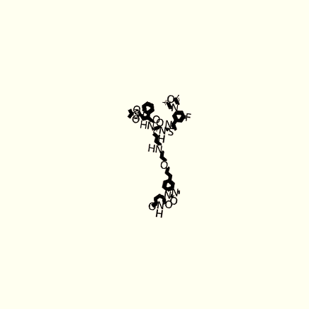 CC(C)S(=O)(=O)n1cc(C(=O)N[C@@H](CCCCNCCCOCCCc2ccc3c(c2)n(C)c(=O)n3C2CCC(=O)NC2=O)C(=O)Nc2nc(-c3cc(F)cc(N4C[C@@H](C)O[C@@H](C)C4)c3)cs2)c2ccccc21